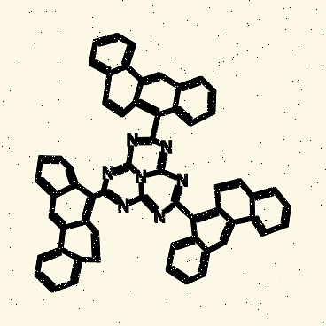 c1ccc2c(C3=NC4=NC(c5c6ccccc6cc6c5ccc5ccccc56)=NC5=NC(c6c7ccccc7cc7c6ccc6ccccc67)=NC(=N3)N45)c3ccc4ccccc4c3cc2c1